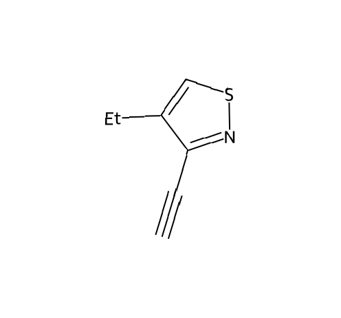 C#Cc1nscc1CC